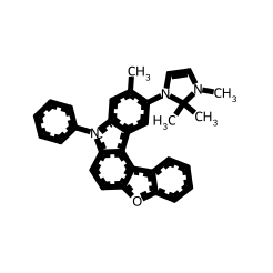 Cc1cc2c(cc1N1C=CN(C)C1(C)C)c1c3c(ccc1n2-c1ccccc1)oc1ccccc13